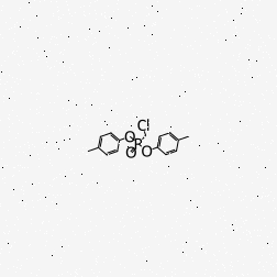 Cc1ccc(OP(=O)(CCl)Oc2ccc(C)cc2)cc1